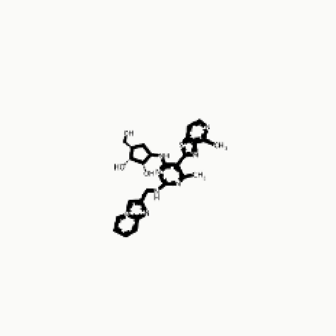 Cc1nc(NCc2cn3ccccc3n2)nc(NC2C[C@H](CO)[C@@H](O)[C@H]2O)c1-c1nc2c(C)nccc2s1